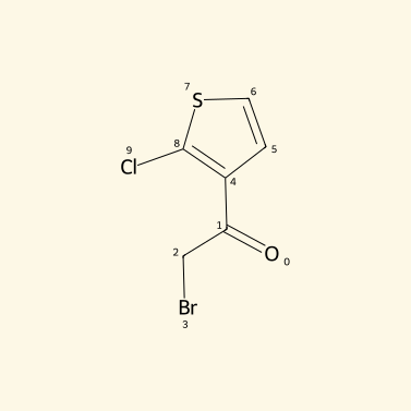 O=C(CBr)c1ccsc1Cl